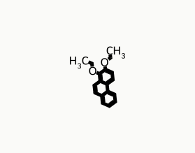 CCOc1ccc2c(ccc3ccccc32)c1OCC